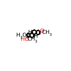 COC1=CCC2=C(CC[C@H]3C4=C[C@@H](C)[C@H](O)[C@@]4(C)CC[C@H]23)C1